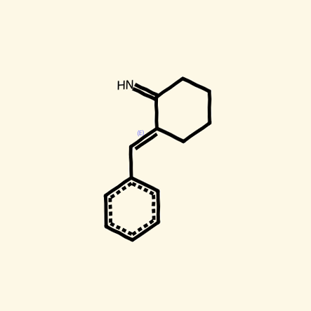 N=C1CCCC/C1=C\c1ccccc1